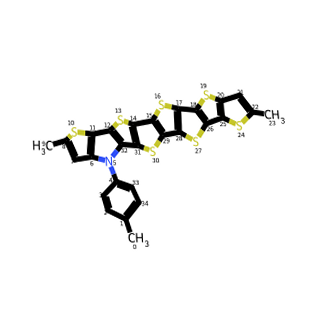 Cc1ccc(-n2c3cc(C)sc3c3sc4c5sc6c7sc8cc(C)sc8c7sc6c5sc4c32)cc1